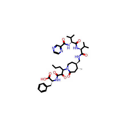 CCCC(C(=O)C(=O)N[C@H](Cc1ccccc1)C(=O)O)N1CC[C@@H](CNC(=O)[C@@H](NC(=O)[C@H](NC(=O)c2cnccn2)C(C)C)C(C)C)[C@H](C)CC1=O